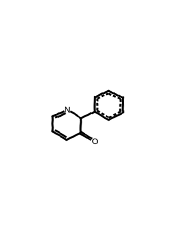 O=C1C=CC=NC1c1ccccc1